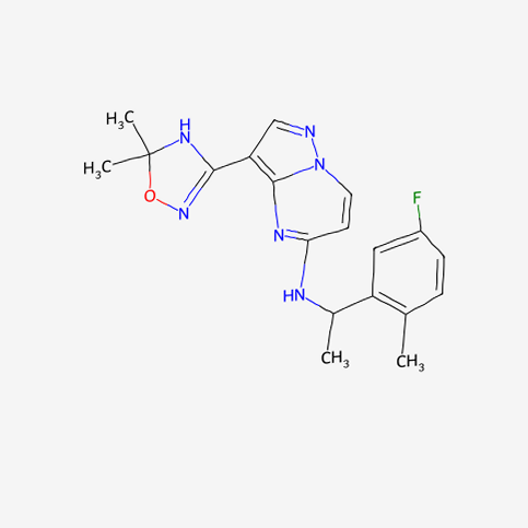 Cc1ccc(F)cc1C(C)Nc1ccn2ncc(C3=NOC(C)(C)N3)c2n1